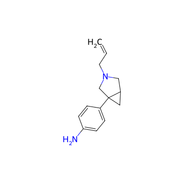 C=CCN1CC2CC2(c2ccc(N)cc2)C1